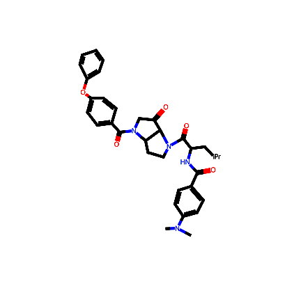 CC(C)CC(NC(=O)c1ccc(N(C)C)cc1)C(=O)N1CCC2C1C(=O)CN2C(=O)c1ccc(Oc2ccccc2)cc1